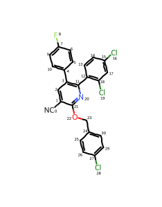 N#Cc1cc(-c2ccc(F)cc2)c(-c2ccc(Cl)cc2Cl)nc1OCc1ccc(Cl)cc1